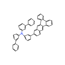 c1ccc(-c2cccc(N(c3cccc(-c4ccccc4)c3)c3cccc(-c4ccc5cc6c7ccccc7c7ccccc7c6cc5c4)c3)c2)cc1